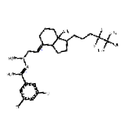 CC12CCC/C(=C\CN(N)/N=C(\N)c3cc(Cl)cc(Cl)c3)C1CCC2CCCC(F)(F)C(C)(C)O